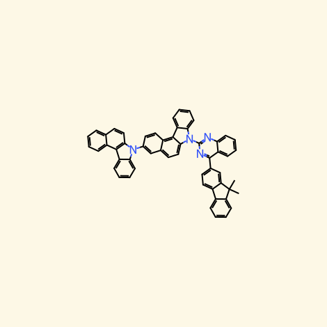 CC1(C)c2ccccc2-c2ccc(-c3nc(-n4c5ccccc5c5c6ccc(-n7c8ccccc8c8c9ccccc9ccc87)cc6ccc54)nc4ccccc34)cc21